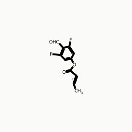 C/C=C/C(=O)Oc1cc(F)c(C=O)c(F)c1